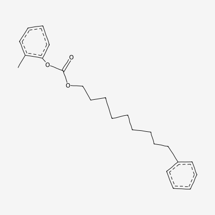 Cc1ccccc1OC(=O)OCCCCCCCCCc1ccccc1